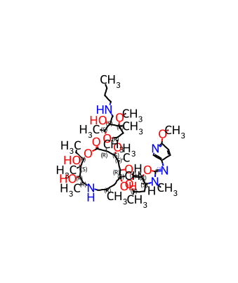 CCCCNC[C@]1(O)[C@H](C)O[C@@H](O[C@H]2[C@H](C)[C@@H](O[C@@H]3O[C@H](C)C[C@H]4[C@H]3O/C(=N\c3ccc(OC)nc3)N4C)[C@](C)(O)C[C@@H](C)CN[C@H](C)[C@@H](O)[C@](C)(O)[C@@H](CC)OC(=O)[C@@H]2C)C[C@@]1(C)OC